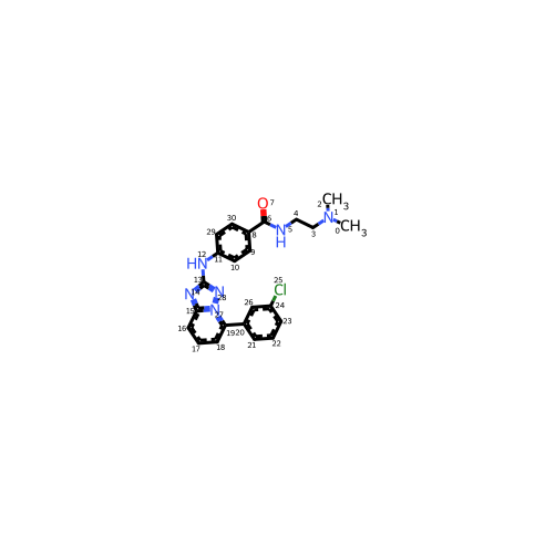 CN(C)CCNC(=O)c1ccc(Nc2nc3cccc(-c4cccc(Cl)c4)n3n2)cc1